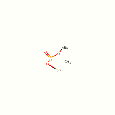 C.CCCCO[PH](=O)OCCCC